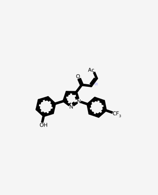 CC(=O)/C=C\C(=O)c1cc(-c2cccc(O)c2)nn1-c1ccc(C(F)(F)F)cc1